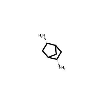 N[C@H]1CC2CC1C[C@@H]2N